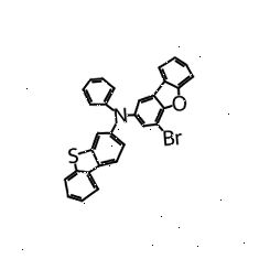 Brc1cc(N(c2ccccc2)c2ccc3c(c2)sc2ccccc23)cc2c1oc1ccccc12